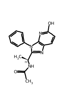 CC(=O)N[C@@H](C)c1nc2ccc(O)nc2n1-c1ccccc1